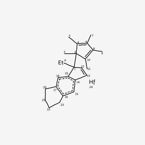 CCC1(C2(C)C(C)=C(C)C(C)=C2C)C=Cc2cc3c(cc21)CCCC3.[Hf]